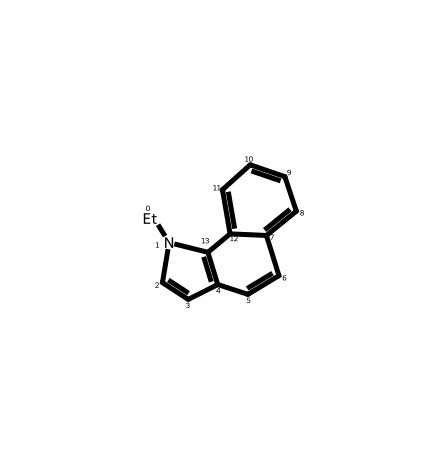 CCn1ccc2ccc3ccccc3c21